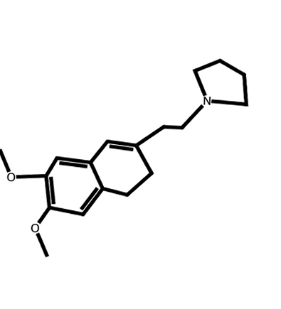 COc1cc2c(cc1OC)CCC(CCN1CCCC1)=C2